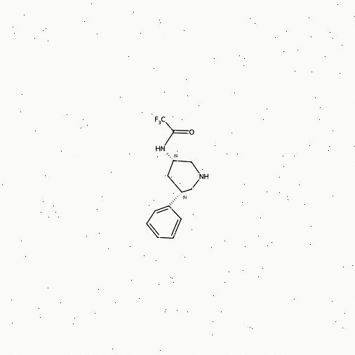 O=C(N[C@@H]1CNC[C@H](c2ccccc2)C1)C(F)(F)F